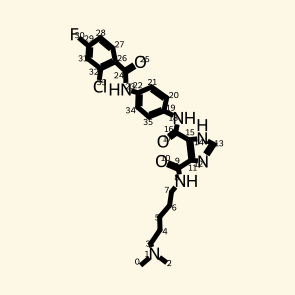 CN(C)CCCCCNC(=O)c1nc[nH]c1C(=O)Nc1ccc(NC(=O)c2ccc(F)cc2Cl)cc1